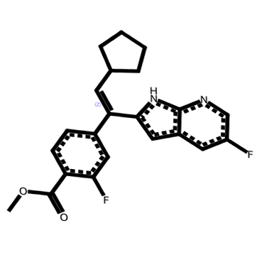 COC(=O)c1ccc(/C(=C/C2CCCC2)c2cc3cc(F)cnc3[nH]2)cc1F